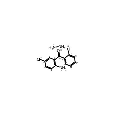 NN.Nc1ccc(Cl)cc1C(=O)c1ccccc1Cl